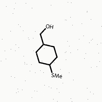 CSC1CCC(CO)CC1